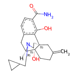 C=C1CC[C@@]2(O)[C@H]3Cc4ccc(C(N)=O)c(O)c4[C@@]2(CCN3CC2CC2)C1